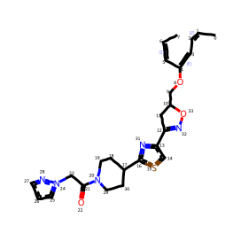 C\C=C/C=C(\C=C/C)OCC1CC(c2csc(C3CCN(C(=O)Cn4cccn4)CC3)n2)=NO1